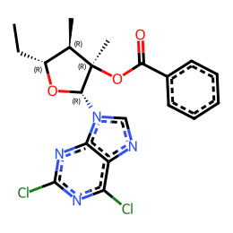 CC[C@H]1O[C@@H](n2cnc3c(Cl)nc(Cl)nc32)[C@](C)(OC(=O)c2ccccc2)[C@@H]1C